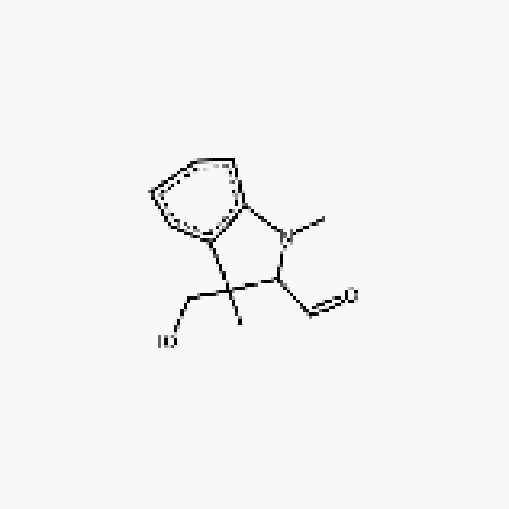 CN1c2ccccc2C(C)(CO)C1C=O